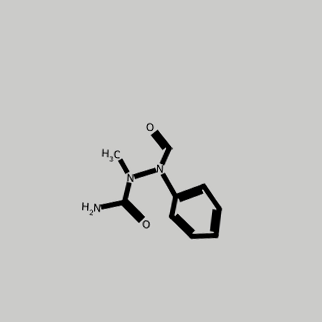 CN(C(N)=O)N([C]=O)c1ccccc1